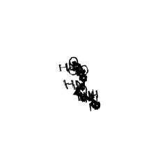 N=C/C(=C\NC1CCN(C2CC2CC(=O)NCc2ccc3c(c2)CN(C2CCC(=O)NC2=O)C3=O)C1)c1cnc2ccccc2n1